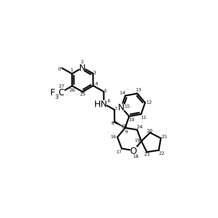 Cc1ncc(CNCC[C@]2(c3ccccn3)CCOC3(CCCC3)C2)cc1C(F)(F)F